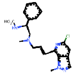 CN(C/C=C/c1nc(Cl)cc2cnn(C)c12)CC(NC(=O)O)c1ccccc1